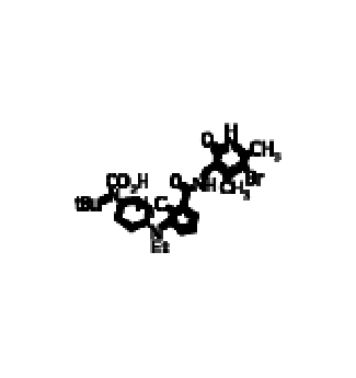 CCN(c1cccc(C(=O)NCc2c(C)c(Br)c(C)[nH]c2=O)c1C)[C@H]1CC[C@H](N(C(=O)O)C(C)(C)C)CC1